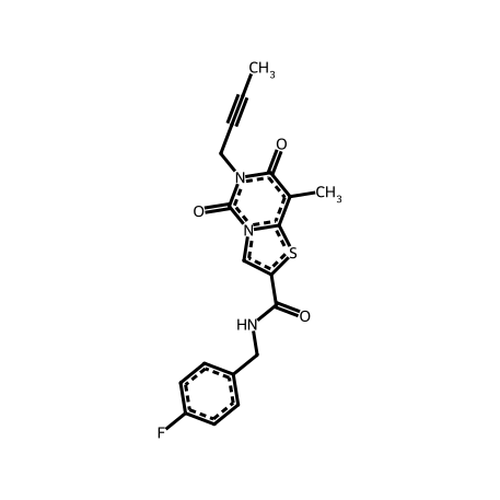 CC#CCn1c(=O)c(C)c2sc(C(=O)NCc3ccc(F)cc3)cn2c1=O